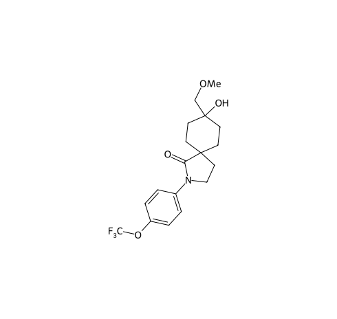 COCC1(O)CCC2(CCN(c3ccc(OC(F)(F)F)cc3)C2=O)CC1